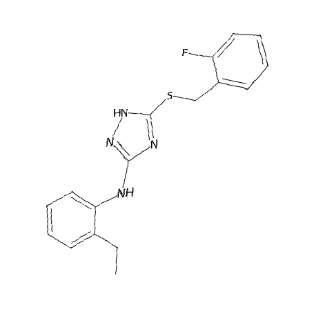 CCc1ccccc1Nc1n[nH]c(SCc2ccccc2F)n1